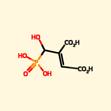 O=C(O)/C=C(\C(=O)O)C(O)P(=O)(O)O